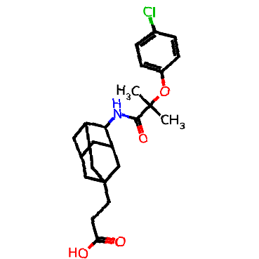 CC(C)(Oc1ccc(Cl)cc1)C(=O)NC1C2CC3CC1CC(CCC(=O)O)(C3)C2